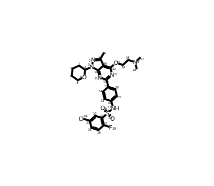 Cc1nn(C2CCCCO2)c2nc(-c3ccc(NS(=O)(=O)c4cc(Cl)ccc4F)cc3)nc(OCCN(C)C)c12